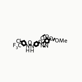 COCCOc1cc2ncnc(Oc3ccc(NC(=O)Nc4ccc(Cl)c(C(F)(F)F)c4)cc3)c2c2c1OCCO2